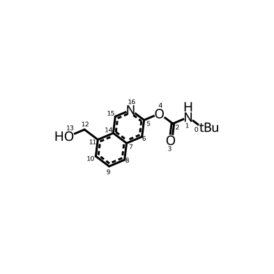 CC(C)(C)NC(=O)Oc1cc2cccc(CO)c2cn1